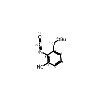 CC(C)(C)Oc1cccc(C#N)c1N=C=O